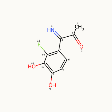 CC(=O)C(=N)c1ccc(O)c(O)c1F